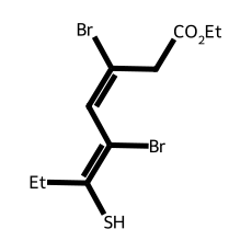 CCOC(=O)C/C(Br)=C\C(Br)=C(\S)CC